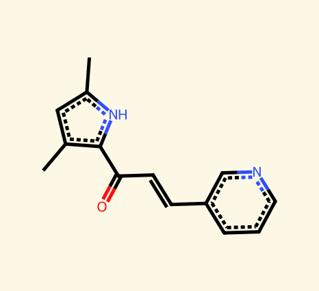 Cc1cc(C)c(C(=O)C=Cc2cccnc2)[nH]1